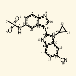 CS(=O)(=O)Nc1ccc2ncn(-c3nc4ccc(C#N)cc4n3C3CC3)c2c1